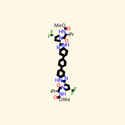 COC(=O)N[C@H](C(=O)N1C[C@@H](C(F)F)C[C@H]1c1nc2cc(-c3ccc(-c4ccc5[nH]c([C@@H]6C[C@H](C(F)F)CN6C(=O)[C@@H](NC(=O)OC)C(C)C)nc5c4)cc3)ccc2[nH]1)C(C)C